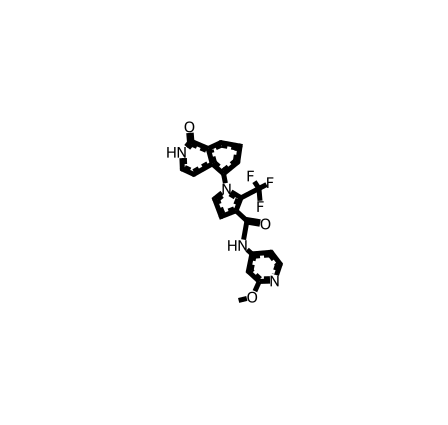 COc1cc(NC(=O)c2ccn(-c3cccc4c(=O)[nH]ccc34)c2C(F)(F)F)ccn1